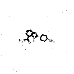 NC(=O)c1cccc2nc([C@H]3CC[C@@H](N)CC3)[nH]c12